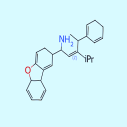 CC(C)/C(=C/C(N)C1C=C2C(=CC1)OC1C=CC=CC21)C(C)C1=CCCC=C1